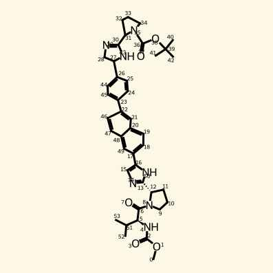 COC(=O)N[C@H](C(=O)N1CCC[C@H]1c1ncc(-c2ccc3cc(-c4ccc(C5CN=C(C6CCCN6C(=O)OC(C)(C)C)N5)cc4)ccc3c2)[nH]1)C(C)C